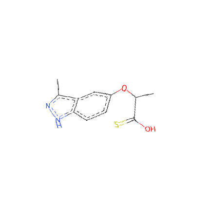 Cc1n[nH]c2ccc(OC(C)C(O)=S)cc12